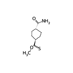 COC(=S)[C@H]1CC[C@H](C(N)=O)CC1